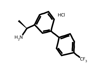 C[C@H](N)c1cccc(-c2ccc(C(F)(F)F)cc2)c1.Cl